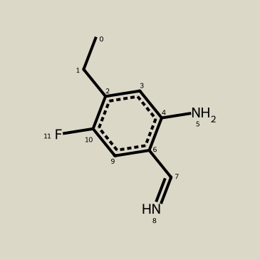 CCc1cc(N)c(C=N)cc1F